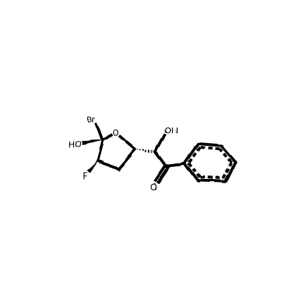 O=C(c1ccccc1)C(O)[C@@H]1C[C@@H](F)[C@](O)(Br)O1